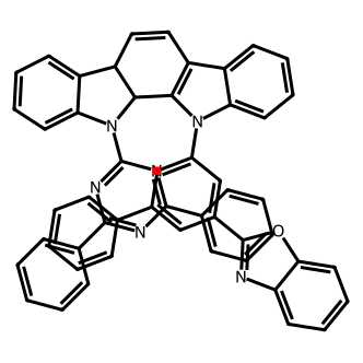 C1=CC2c3ccccc3N(c3nc(-c4ccccc4)nc(-c4ccccc4)n3)C2c2c1c1ccccc1n2-c1cc(-c2ccccc2)cc(-c2nc3ccccc3o2)c1